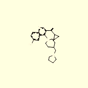 O=C(c1cnc2ccc(Br)cc2c1N1CCC(CN2CCCC2)CC1)C1CC1